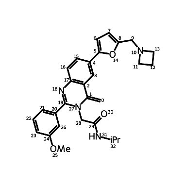 C=C1c2cc(-c3ccc(CN4CCC4)o3)ccc2N=C(c2cccc(OC)c2)N1CC(=O)NC(C)C